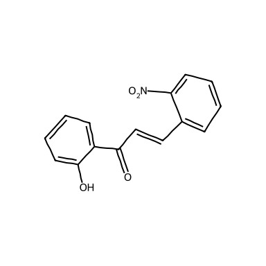 O=C(C=Cc1ccccc1[N+](=O)[O-])c1ccccc1O